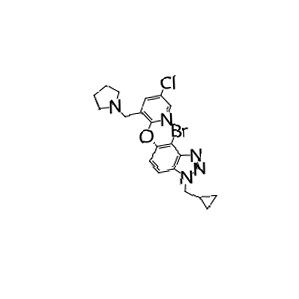 Clc1cnc(Oc2ccc3c(nnn3CC3CC3)c2Br)c(CN2CCCC2)c1